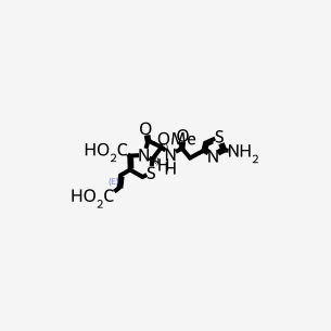 CO[C@@]1(NC(=O)Cc2csc(N)n2)C(=O)N2C(C(=O)O)=C(/C=C/C(=O)O)CS[C@@H]21